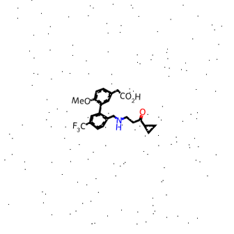 COc1ccc(CC(=O)O)cc1-c1cc(C(F)(F)F)ccc1CNCCC(=O)C1CC1